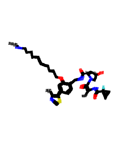 Cc1ncsc1-c1ccc(CNC(=O)[C@@H]2C[C@@H](O)CN2C(=O)C(NC(=O)C2(F)CC2)C(C)(C)C)c(OCCCCCCCCCCNC(=O)O)c1